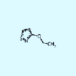 CCOc1ccsn1